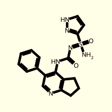 NS(=O)(=NC(=O)Nc1c(-c2ccccc2)cnc2c1CCC2)c1cc[nH]n1